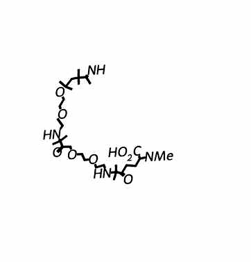 CNC(CCC(=O)C(C)(C)NCCOCCOCC(=O)C(C)(C)NCCOCCOC(C)(C)CC(C)(C)C(C)=N)C(=O)O